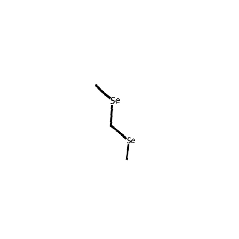 C[Se]C[Se]C